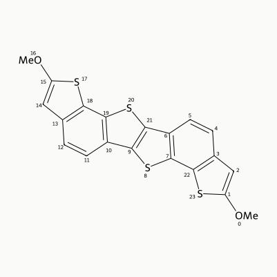 COc1cc2ccc3c(sc4c5ccc6cc(OC)sc6c5sc34)c2s1